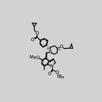 COc1cc(C)c2c(c1=CN1CC[C@H](OCC3CC3)C[C@H]1c1ccc(C(=O)OCC3CC3)cc1)=CCN2C(=O)OC(C)(C)C